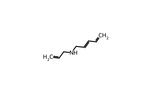 C=CC=CCNCC=C